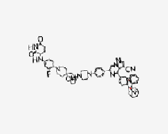 N#Cc1cnn2cc(-c3ccc(N4CCN(C(=O)CC5(O)CCN(c6ccc(NC7CCC(=O)NC7=O)cc6F)CC5)CC4)cc3)nc(-c3ccc(N4CC5CC(C4)N5Cc4ccccc4)nc3)c12